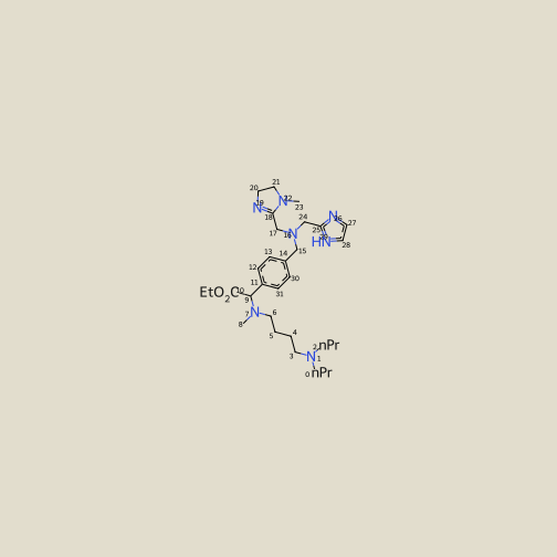 CCCN(CCC)CCCCN(C)C(C(=O)OCC)c1ccc(CN(CC2=NCCN2C)Cc2ncc[nH]2)cc1